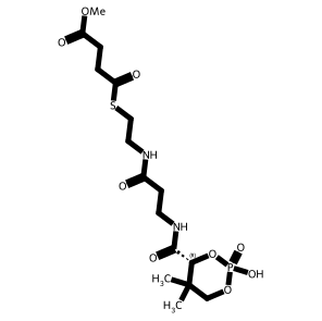 COC(=O)CCC(=O)SCCNC(=O)CCNC(=O)[C@@H]1OP(=O)(O)OCC1(C)C